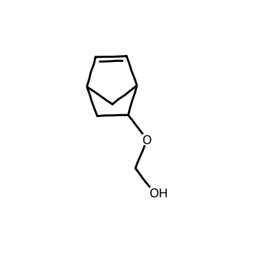 OCOC1CC2C=CC1C2